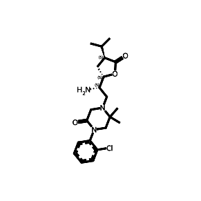 CC(C)[C@@H]1C[C@@H]([C@@H](N)CN2CC(=O)N(c3ccccc3Cl)CC2(C)C)OC1=O